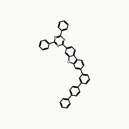 c1ccc(-c2ccc(-c3cccc(-c4ccc5c(c4)oc4cc(-c6nc(-c7ccccc7)nc(-c7ccccc7)n6)ccc45)c3)cc2)cc1